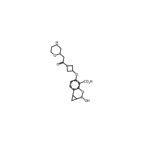 O=C(O)c1c(OC2CN(C(=O)CC3CNCCO3)C2)ccc2c1OB(O)C1CC21